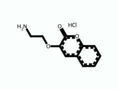 Cl.NCCOc1cc2ccccc2oc1=O